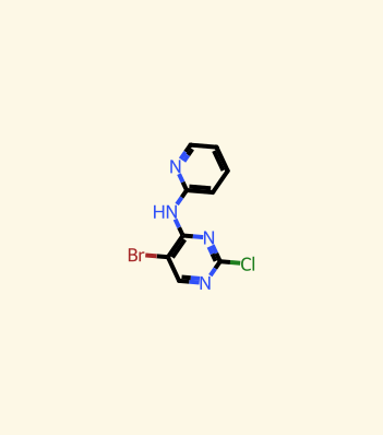 Clc1ncc(Br)c(Nc2ccccn2)n1